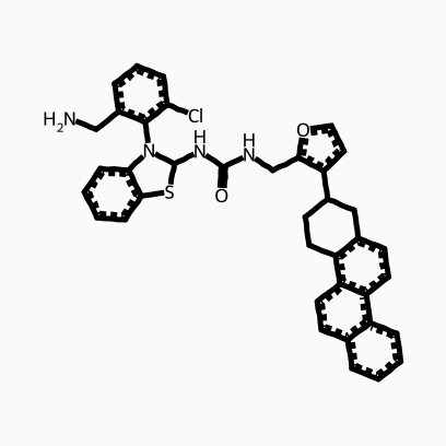 NCc1cccc(Cl)c1N1c2ccccc2SC1NC(=O)NCc1occc1C1CCc2c(ccc3c2ccc2ccccc23)C1